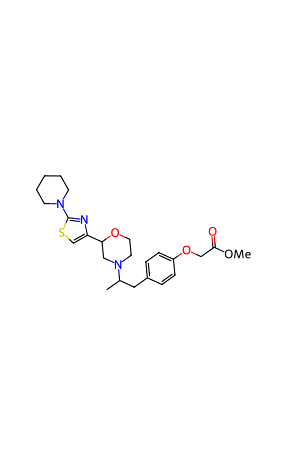 COC(=O)COc1ccc(CC(C)N2CCOC(c3csc(N4CCCCC4)n3)C2)cc1